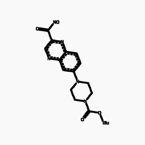 CC(C)(C)OC(=O)N1CCN(c2ccc3nc(C(=O)N=O)cnc3c2)CC1